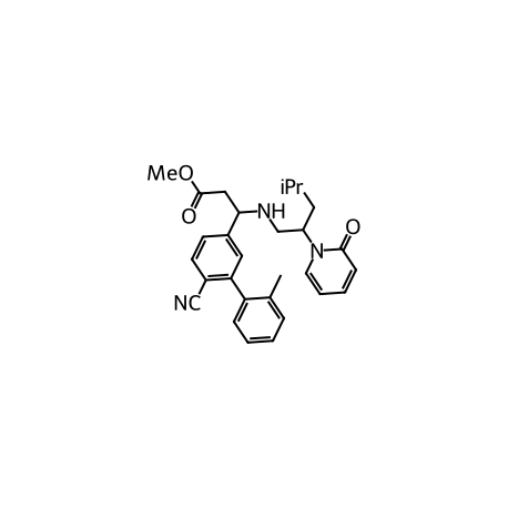 COC(=O)CC(NCC(CC(C)C)n1ccccc1=O)c1ccc(C#N)c(-c2ccccc2C)c1